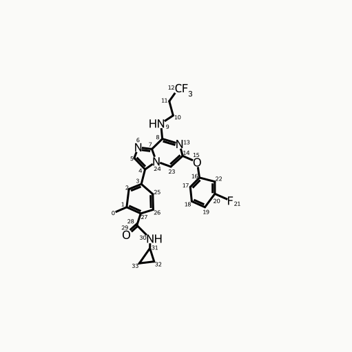 Cc1cc(-c2cnc3c(NCCC(F)(F)F)nc(Oc4cccc(F)c4)cn23)ccc1C(=O)NC1CC1